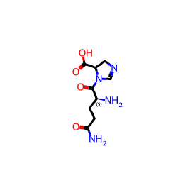 NC(=O)CC[C@H](N)C(=O)N1C=NCC1C(=O)O